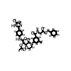 CC(=O)O[C@@H](C(=O)Nc1ccc(-c2noc(=O)[nH]2)cc1)[C@H]1OCCN(c2cc(F)cc(C(=O)N(C)CC(=O)OCc3ccccc3)c2)C1=O